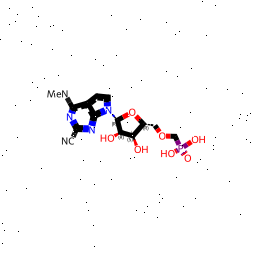 CNc1nc(C#N)nc2c1ccn2[C@@H]1O[C@H](COCP(=O)(O)O)[C@@H](O)[C@H]1O